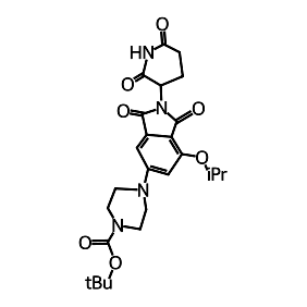 CC(C)Oc1cc(N2CCN(C(=O)OC(C)(C)C)CC2)cc2c1C(=O)N(C1CCC(=O)NC1=O)C2=O